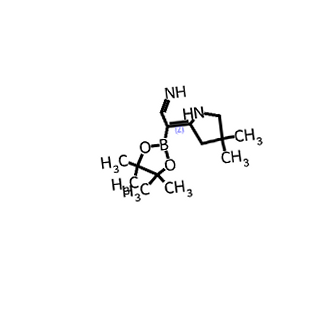 CC1(C)CN/C(=C(\C=N)B2OC(C)(C)C(C)(C)O2)C1